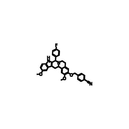 COc1ccc2[nH]c3c(c2c1)CC1c2cc(OC)c(OCc4ccc(C#N)cc4)cc2CCN1C3c1ccc(F)cc1